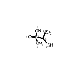 CCC(S)P(=O)(O)O